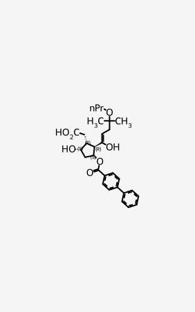 CCCOC(C)(C)CC=C(O)[C@@H]1[C@@H](CC(=O)O)[C@@H](O)C[C@@H]1OC(=O)c1ccc(-c2ccccc2)cc1